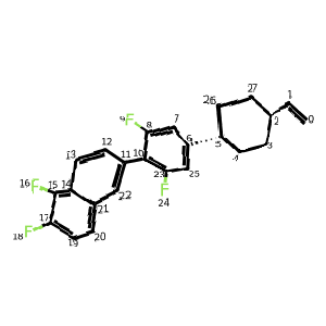 C=C[C@H]1CC[C@H](c2cc(F)c(-c3ccc4c(F)c(F)ccc4c3)c(F)c2)CC1